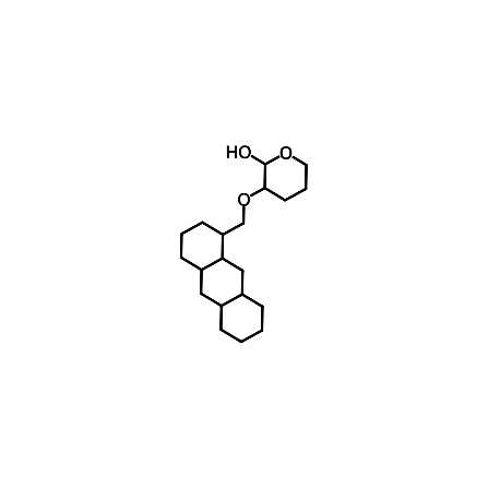 OC1OCCCC1OCC1CCCC2CC3CCCCC3CC12